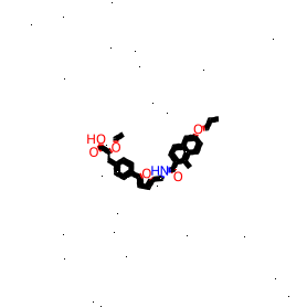 CCCOc1ccc2c(C)c(C(=O)NCc3ccc(-c4ccc(C[C@H](OCC)C(=O)O)cc4)o3)ccc2c1